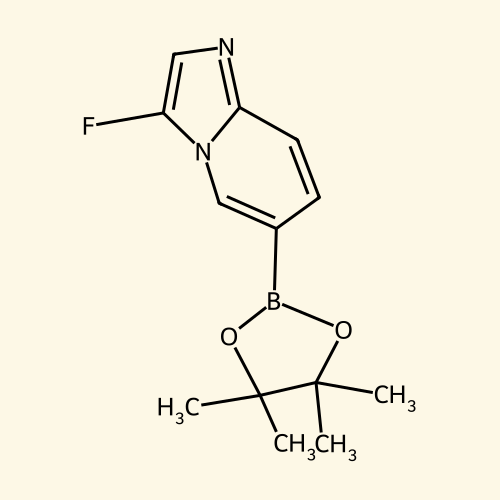 CC1(C)OB(c2ccc3ncc(F)n3c2)OC1(C)C